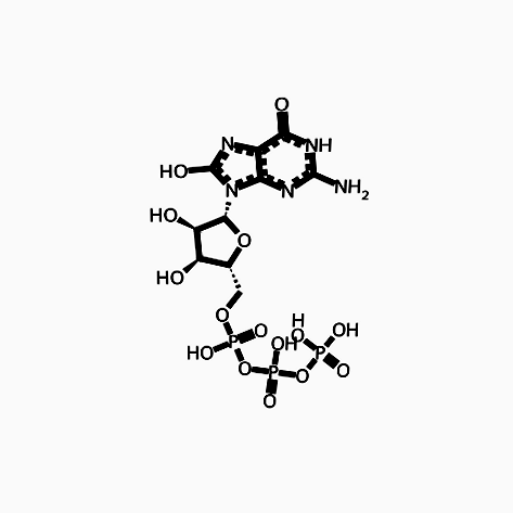 Nc1nc2c(nc(O)n2[C@@H]2O[C@H](COP(=O)(O)OP(=O)(O)OP(=O)(O)O)[C@@H](O)[C@H]2O)c(=O)[nH]1